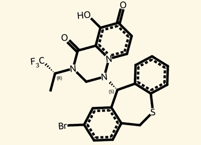 C[C@@H](N1CN([C@H]2c3cc(Br)ccc3CSc3ccccc32)n2ccc(=O)c(O)c2C1=O)C(F)(F)F